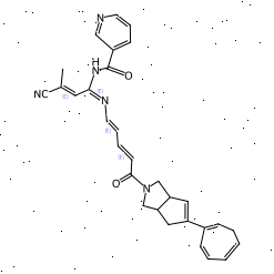 C\C(C#N)=C/C(=N\C=C\C=C\C(=O)N1CC2C=C(C3=CCC=CC=C3)CC2C1)NC(=O)c1cccnc1